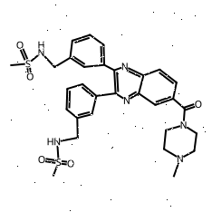 CN1CCN(C(=O)c2ccc3nc(-c4cccc(CNS(C)(=O)=O)c4)c(-c4cccc(CNS(C)(=O)=O)c4)nc3c2)CC1